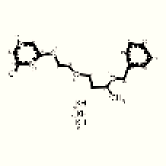 C[C@@H](CCOCCOc1cncc(Cl)n1)OCc1ccccc1.[KH].[KH].[KH]